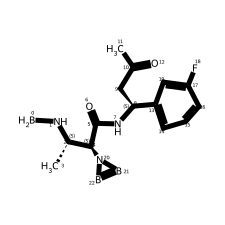 BN[C@@H](C)[C@@H](C(=O)N[C@@H](CC(C)=O)c1cccc(F)c1)N1B=B1